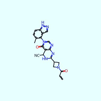 C=CC(=O)N1CC(C2=Nc3ncn(-c4c(C)ccc5[nH]ncc45)c(=O)c3C(C#N)N2)C1